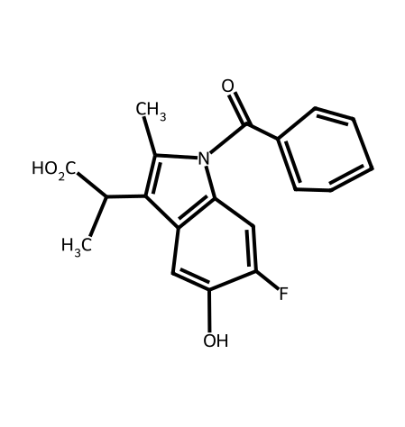 Cc1c(C(C)C(=O)O)c2cc(O)c(F)cc2n1C(=O)c1ccccc1